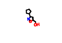 OCc1cc(C2CCCC2)no1